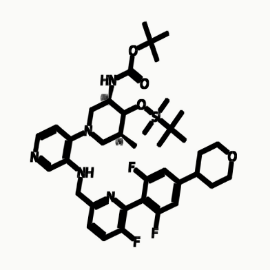 C[C@H]1CN(c2ccncc2NCc2ccc(F)c(-c3c(F)cc(C4CCOCC4)cc3F)n2)C[C@@H](NC(=O)OC(C)(C)C)C1O[Si](C)(C)C(C)(C)C